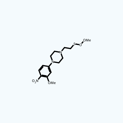 COOSCCN1CCN(c2ccc([N+](=O)[O-])c(OC)c2)CC1